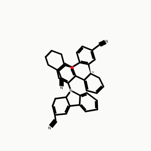 N#CC1=CCC2C(=C1)c1ccccc1N2c1ccccc1C1=CC=CC[C@@H]1c1cc(C#N)ccc1NC1CCCCC1C#N